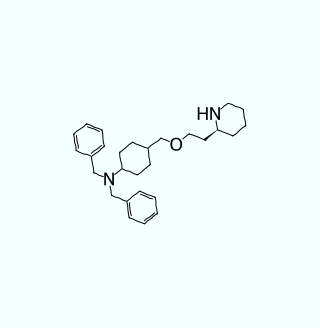 c1ccc(CN(Cc2ccccc2)C2CCC(COCC[C@@H]3CCCCN3)CC2)cc1